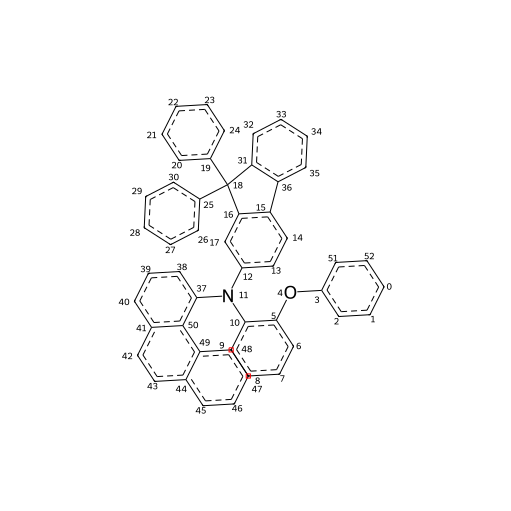 c1ccc(Oc2ccccc2N(c2ccc3c(c2)C(c2ccccc2)(c2ccccc2)c2ccccc2-3)c2cccc3ccc4ccccc4c23)cc1